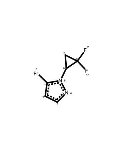 CC(C)c1ccnn1C1CC1(F)F